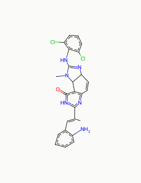 C/C(=C\c1ccccc1N)c1nc2c(c(=O)[nH]1)C1C(C=C2)N=C(Nc2c(Cl)cccc2Cl)N1C